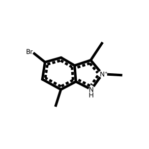 Cc1cc(Br)cc2c(C)[n+](C)[nH]c12